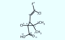 CC1(C)C(C=C(F)Cl)C1(Cl)C(=O)O